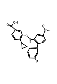 C[S+]([O-])c1ccc(-c2cccc(F)c2)c(NSc2cc(C(=O)O)ccc2C2CC2)c1